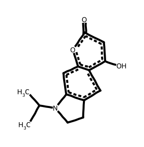 CC(C)N1CCc2cc3c(O)cc(=O)oc3cc21